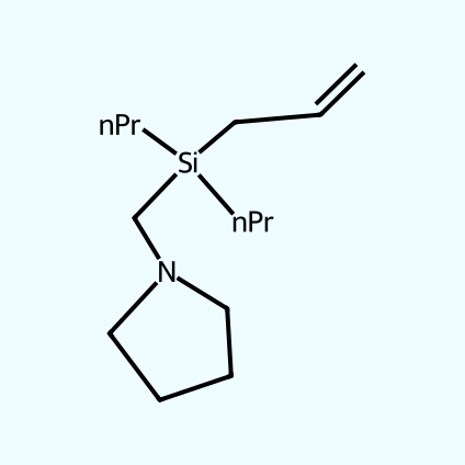 C=CC[Si](CCC)(CCC)CN1CCCC1